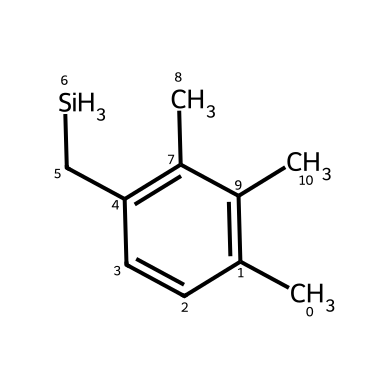 Cc1ccc(C[SiH3])c(C)c1C